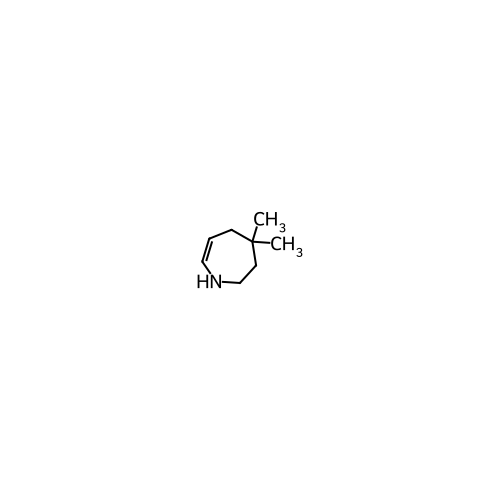 CC1(C)CC=CNCC1